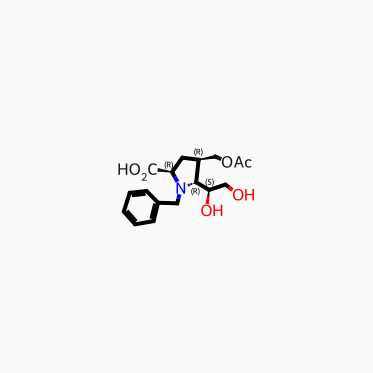 CC(=O)OC[C@@H]1C[C@H](C(=O)O)N(Cc2ccccc2)[C@H]1[C@H](O)CO